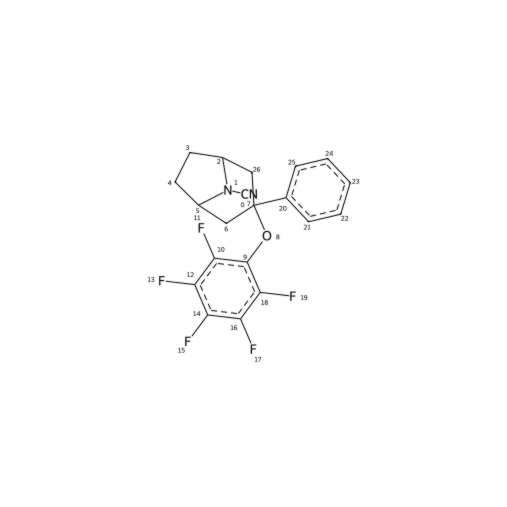 N#CN1C2CCC1CC(Oc1c(F)c(F)c(F)c(F)c1F)(c1ccccc1)C2